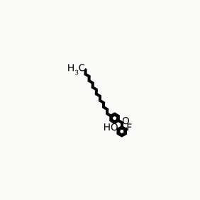 CCCCCCCCCCCCCCCc1ccc(C(=O)c2ccccc2F)c(O)c1